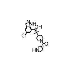 CC(C)(C1CCN(C(=O)[C@H]2CCNC2)CC1)[C@H](O)c1cc(Cl)cc2cn[nH]c12